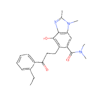 CCc1ccccc1C(=O)CCc1c(C(=O)N(C)C)cc2c(nc(C)n2C)c1O